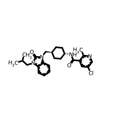 Cc1ncc(Cl)cc1C(=O)N[C@H]1CC[C@H](Cn2c(=O)n(CC(C)C)c3ccccc32)CC1